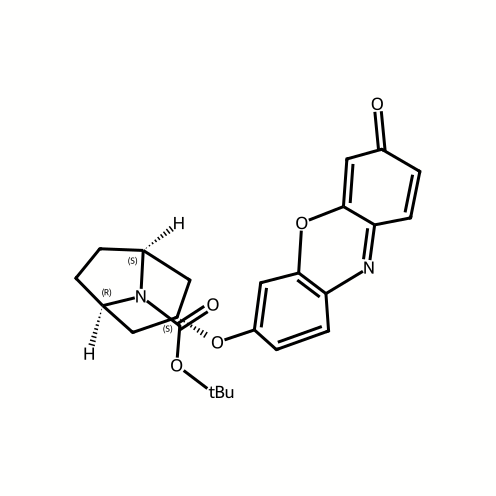 CC(C)(C)OC(=O)N1[C@@H]2CC[C@H]1C[C@H](Oc1ccc3nc4ccc(=O)cc-4oc3c1)C2